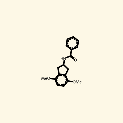 COc1ccc(OC)c2c1CC(NC(=O)c1ccccc1)C2